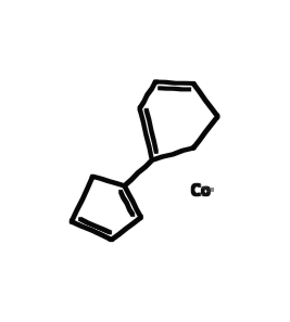 C1=CCCC(C2=CC=CC2)=C1.[Co]